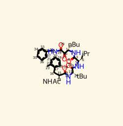 CCCC[C@H](NC(=O)[C@H](CC(C)C)NC(=O)[C@@H](NC(=O)[C@H](Cc1ccccc1C)NC(C)=O)C(C)(C)C)C(=O)C(=O)NCc1ccccc1